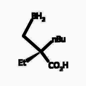 BC[C@@](CC)(CCCC)C(=O)O